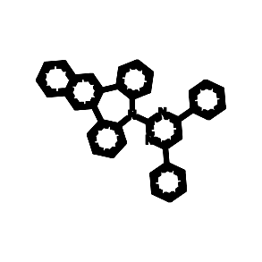 c1ccc(-c2cc(-c3ccccc3)nc(N3c4ccccc4-c4cc5ccccc5cc4-c4ccccc43)n2)cc1